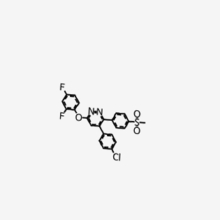 CS(=O)(=O)c1ccc(-c2nnc(Oc3ccc(F)cc3F)cc2-c2ccc(Cl)cc2)cc1